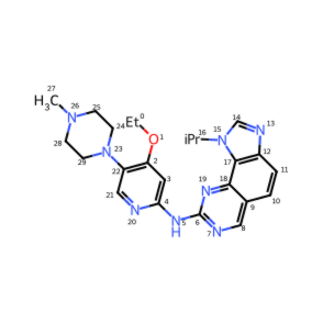 CCOc1cc(Nc2ncc3ccc4ncn(C(C)C)c4c3n2)ncc1N1CCN(C)CC1